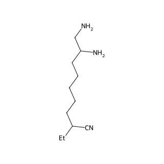 CCC(C#N)CCCCCC(N)CN